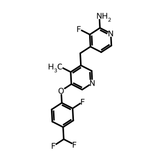 Cc1c(Cc2ccnc(N)c2F)cncc1Oc1ccc(C(F)F)cc1F